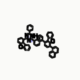 N/C(=N\C(=N/Cc1ccccc1)c1cccc2oc3ccccc3c12)c1cccc2c(-c3ccc(-c4cccc5ccccc45)c4oc5ccccc5c34)cccc12